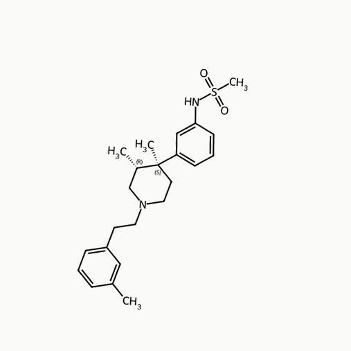 Cc1cccc(CCN2CC[C@](C)(c3cccc(NS(C)(=O)=O)c3)[C@@H](C)C2)c1